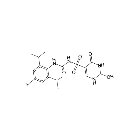 CC(C)c1cc(F)cc(C(C)C)c1NC(=O)NS(=O)(=O)C1=CNC(O)NC1=O